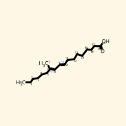 CCCCCC/C(C)=C/C=C/CCCCCCCC(=O)O